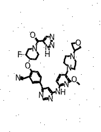 COc1nc(Nc2cc(-c3ccc(O[C@H]4CCN(C(=O)c5cnn[nH]5)C[C@H]4F)c(C#N)c3)ncn2)ccc1N1CCN(C2COC2)CC1